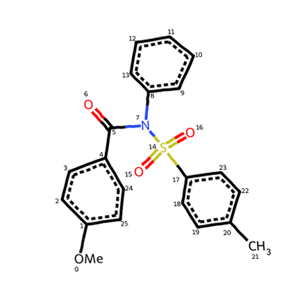 COc1ccc(C(=O)N(c2ccccc2)S(=O)(=O)c2ccc(C)cc2)cc1